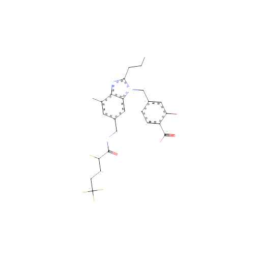 CCCc1nc2c(C)cc(CNC(=O)C(S)CCC(F)(F)F)cc2n1Cc1ccc(C(=O)O)c(Br)c1